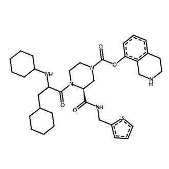 O=C(NCc1cccs1)[C@@H]1CN(C(=O)Oc2cccc3c2CNCC3)CCN1C(=O)C(CC1CCCCC1)NC1CCCCC1